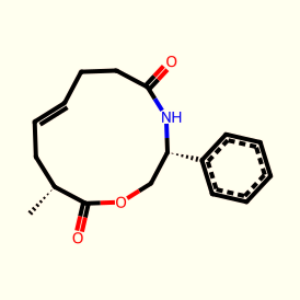 C[C@@H]1C/C=C/CCC(=O)N[C@H](c2ccccc2)COC1=O